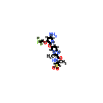 Cc1c(C(=O)NC2(C)CS(=O)(=O)C2)nc2ccc(Oc3ncc(N)cc3OCC(F)(F)F)cn12